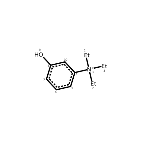 CC[N+](CC)(CC)c1cccc(O)c1